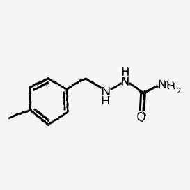 Cc1ccc(CNNC(N)=O)cc1